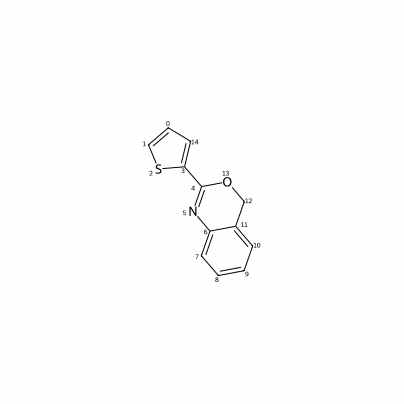 c1csc(C2=Nc3ccccc3CO2)c1